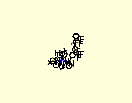 CC(C)(C)OC(=O)/N=C(\NC(=O)OC(C)(C)C)N1CCC[C@H]1c1nc(-c2ccc(OC/C=C/c3ccccc3C(F)(F)F)c(C(F)(F)F)c2)no1